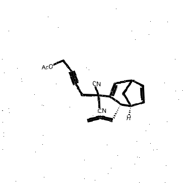 C=C=C[C@@H]1C(C(C#N)(C#N)CC#CCOC(C)=O)=CC2C=C[C@@H]1C2